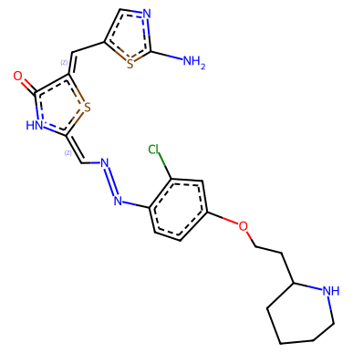 Nc1ncc(/C=c2\s/c(=C\N=Nc3ccc(OCCC4CCCCN4)cc3Cl)[nH]c2=O)s1